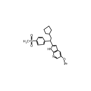 CC(C)Oc1cnc2[nH]c(C(CC3CCCC3)c3ccc(S(C)(=O)=O)cc3)cc2c1